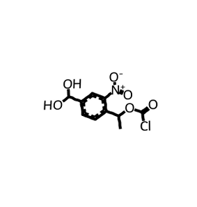 CC(OC(=O)Cl)c1ccc(C(O)O)cc1[N+](=O)[O-]